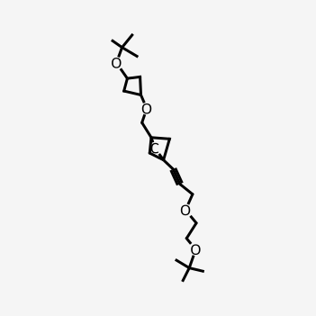 CC(C)(C)OCCOCC#CC12CC(COC3CC(OC(C)(C)C)C3)(C1)C2